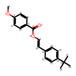 COc1ccc(C(=O)OC=Cc2ccc(C(C)(C)C)cc2)cc1